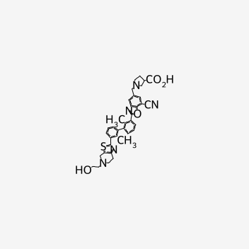 Cc1c(-c2nc3cc(CN4CCC(C(=O)O)C4)cc(C#N)c3o2)cccc1-c1cccc(-c2nc3c(s2)CN(CCO)CC3)c1C